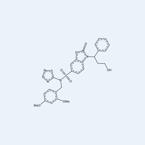 COc1ccc(CN(c2ncns2)S(=O)(=O)c2ccc3c(c2)oc(=O)n3C(CCO)c2ccccc2)c(OC)c1